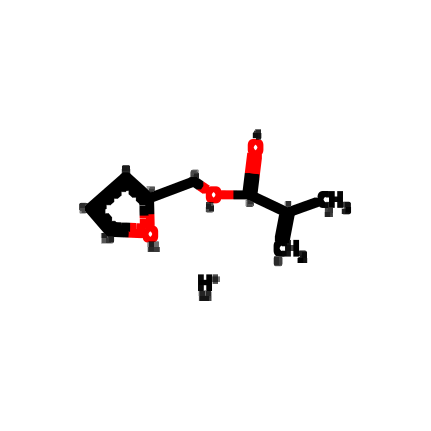 C=C(C)C(=O)OCc1ccco1.[H+]